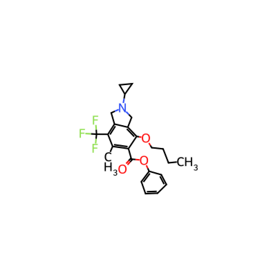 CCCCOc1c2c(c(C(F)(F)F)c(C)c1C(=O)Oc1ccccc1)CN(C1CC1)C2